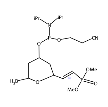 BC1CC(OP(OCCC#N)N(C(C)C)C(C)C)CC(/C=C/P(=O)(OC)OC)O1